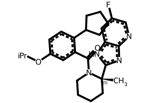 CC(C)Oc1ccc(C2CCCC2)c(C(=O)N2CCCC[C@@]2(C)c2nc3ncc(F)cc3[nH]2)c1